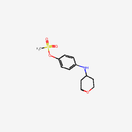 O=S(=O)(Oc1ccc(NC2CCOCC2)cc1)C(F)(F)F